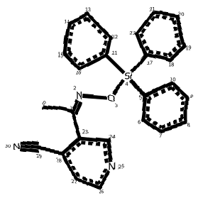 CC(=NO[Si](c1ccccc1)(c1ccccc1)c1ccccc1)c1cnccc1C#N